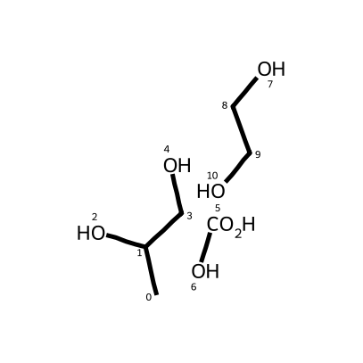 CC(O)CO.O=C(O)O.OCCO